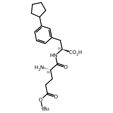 CC(C)(C)OC(=O)CC[C@H](N)C(=O)N[C@@H](Cc1cccc(C2CCCC2)c1)C(=O)O